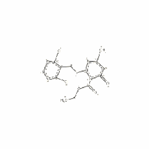 CCOC(=O)n1c(SCc2c(Cl)cncc2Cl)nc(C)cc1=O